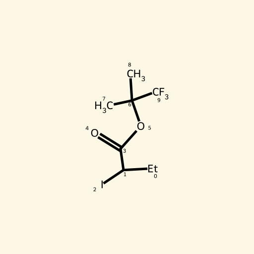 CCC(I)C(=O)OC(C)(C)C(F)(F)F